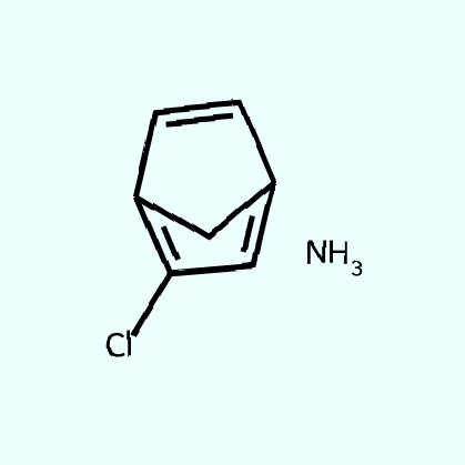 ClC1=C2C=CC(=C1)C2.N